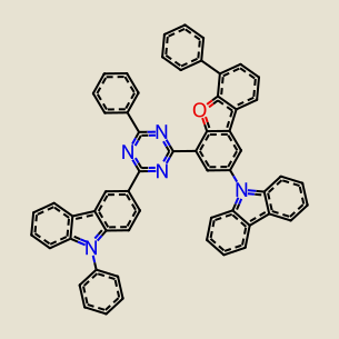 c1ccc(-c2nc(-c3ccc4c(c3)c3ccccc3n4-c3ccccc3)nc(-c3cc(-n4c5ccccc5c5ccccc54)cc4c3oc3c(-c5ccccc5)cccc34)n2)cc1